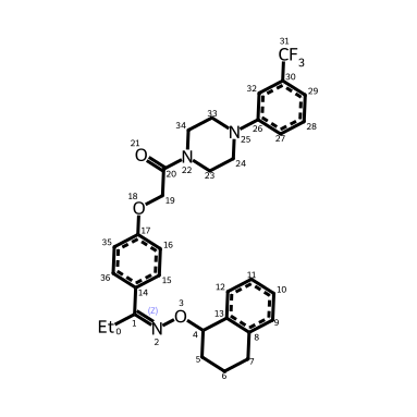 CC/C(=N/OC1CCCc2ccccc21)c1ccc(OCC(=O)N2CCN(c3cccc(C(F)(F)F)c3)CC2)cc1